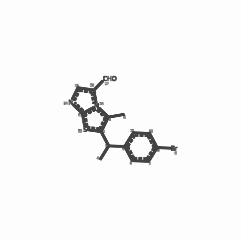 Cc1c(C(C)c2ccc(Br)cc2)sc2ncc(C=O)n12